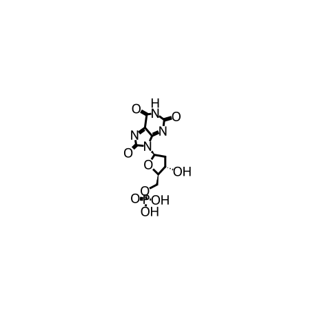 O=C1N=C2C(=NC(=O)N2[C@H]2C[C@H](O)[C@@H](COP(=O)(O)O)O2)C(=O)N1